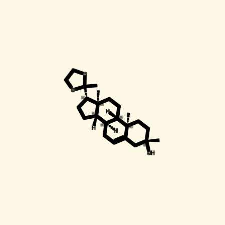 CC1([C@H]2CC[C@H]3[C@@H]4CC=C5C[C@@](C)(O)CC[C@]5(C)[C@H]4CC[C@]23C)OCCO1